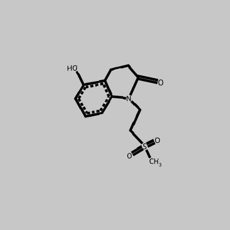 CS(=O)(=O)CCN1C(=O)CCc2c(O)cccc21